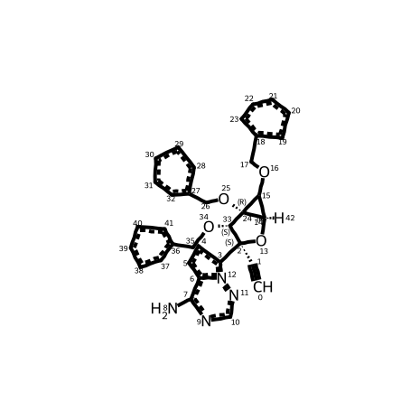 C#C[C@@]1(c2ccc3c(N)ncnn23)O[C@@H]2C(OCc3ccccc3)[C@]2(OCc2ccccc2)[C@H]1OCc1ccccc1